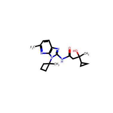 CC(O)(CC(=O)Nc1nc2ccc(C(F)(F)F)nc2n1C1(C)CCC1)C1CC1